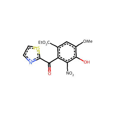 CCOC(=O)c1cc(OC)c(O)c([N+](=O)[O-])c1C(=O)c1nccs1